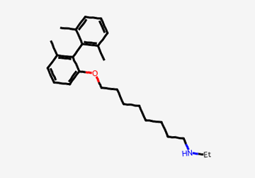 CCNCCCCCCCCOc1cccc(C)c1-c1c(C)cccc1C